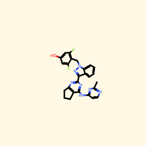 Cc1nccc(Nc2nc(-c3nn(Cc4c(F)cc(O)cc4F)c4ccccc34)nc3c2CCC3)n1